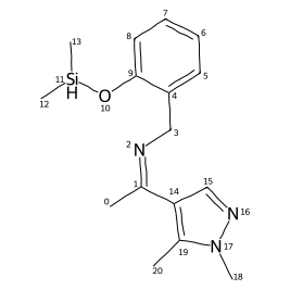 CC(=NCc1ccccc1O[SiH](C)C)c1cnn(C)c1C